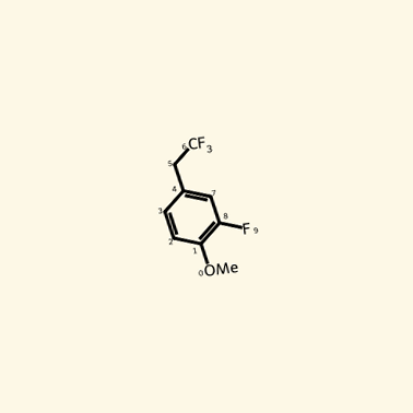 COc1ccc(CC(F)(F)F)cc1F